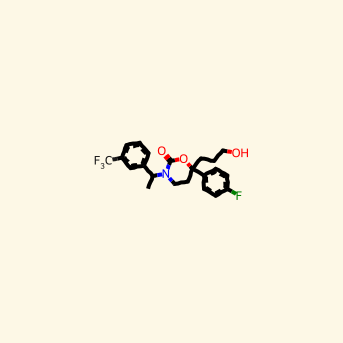 CC(c1cccc(C(F)(F)F)c1)N1CCC(CCCO)(c2ccc(F)cc2)OC1=O